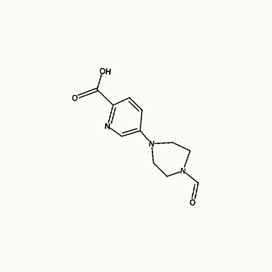 O=CN1CCN(c2ccc(C(=O)O)nc2)CC1